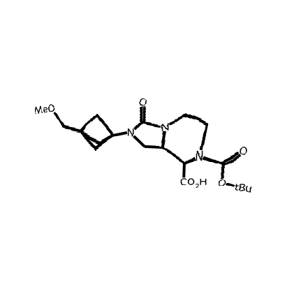 COCC12CC(N3CC4C(C(=O)O)N(C(=O)OC(C)(C)C)CCN4C3=O)(C1)C2